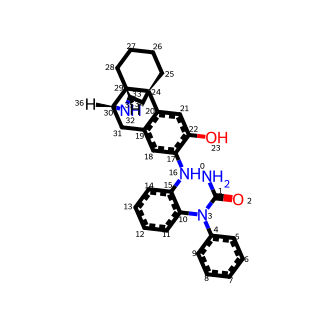 NC(=O)N(c1ccccc1)c1ccccc1Nc1cc2c(cc1O)[C@@]13CCCC[C@H]1[C@@H](C2)NCC3